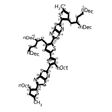 CCCCCCCCCCCCC(CCCCCCCCCC)Cc1cc(C)sc1-c1nc2sc(-c3sc(-c4cc(CCCCCCCC)c(-c5nc6sc(-c7sc(C)cc7CCCCCCCC)nc6s5)s4)cc3CC(CCCCCCCCCC)CCCCCCCCCCCC)nc2s1